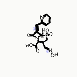 O=C(O)C1=C(/C=N/O)CS(=O)(=O)[C@H]2/C(=C\c3ccccn3)C(=O)N12